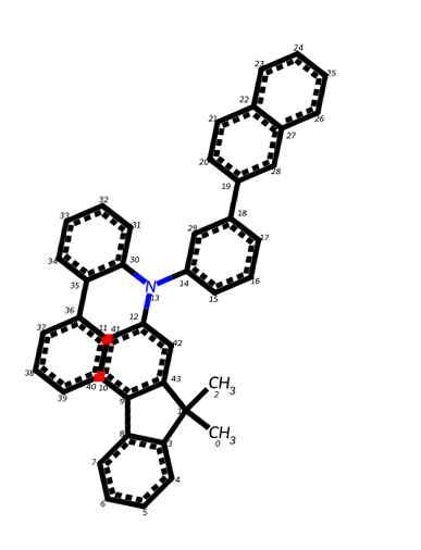 CC1(C)c2ccccc2-c2ccc(N(c3cccc(-c4ccc5ccccc5c4)c3)c3ccccc3-c3ccccc3)cc21